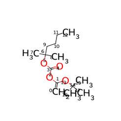 C=C(OC(=O)OC(C)(C)CCCC)OC(C)(C)C